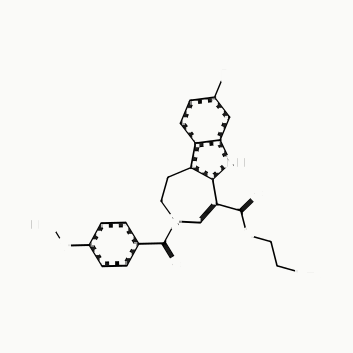 CCCOC(=O)C1=CN(C(=O)c2ccc(OC)cc2)CCc2c1[nH]c1cc(F)ccc21